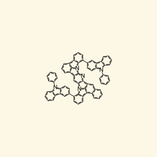 c1ccc(-n2c3ccccc3c3cc(-c4cccc5c6c7ccccc7cc7c8nc9c(cc8n(c45)c76)c4cccc5c6cccc(-c7ccc8c(c7)c7ccccc7n8-c7ccccc7)c6n9c45)ccc32)cc1